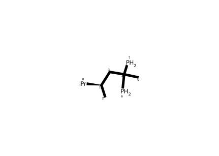 CC(C)[C@H](C)CC(C)(P)P